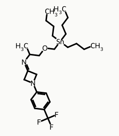 CCC[CH2][Sn]([CH2]CCC)([CH2]CCC)[CH2]OCC(C)N=C1CN(c2ccc(C(F)(F)F)cc2)C1